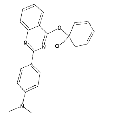 CN(C)c1ccc(-c2nc(OC3(Cl)C=CC=CC3)c3ccccc3n2)cc1